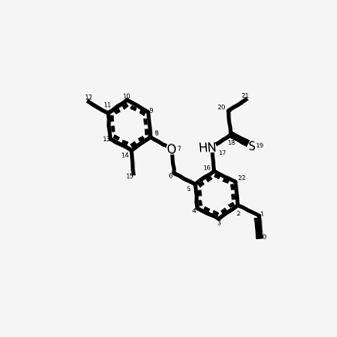 C=Cc1ccc(COc2ccc(C)cc2C)c(NC(=S)CC)c1